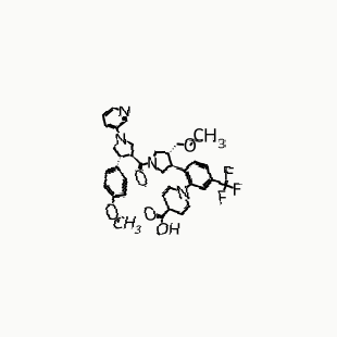 COC[C@H]1CN(C(=O)[C@@H]2CN(c3cccnc3)C[C@H]2c2ccc(OC)cc2)C[C@@H]1c1ccc(C(F)(F)F)cc1N1CCC(C(=O)O)CC1